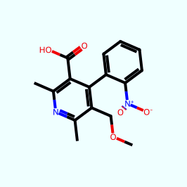 COCc1c(C)nc(C)c(C(=O)O)c1-c1ccccc1[N+](=O)[O-]